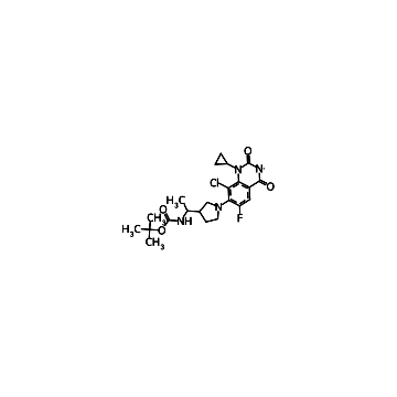 CC(NC(=O)OC(C)(C)C)C1CCN(c2c(F)cc3c(c2Cl)N(C2CC2)C(=O)[N]C3=O)C1